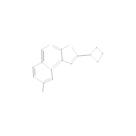 Brc1ccc2cnc3[nH]c(C4CCC4)cc3c2c1